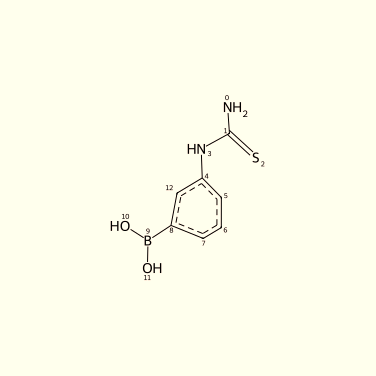 NC(=S)Nc1cccc(B(O)O)c1